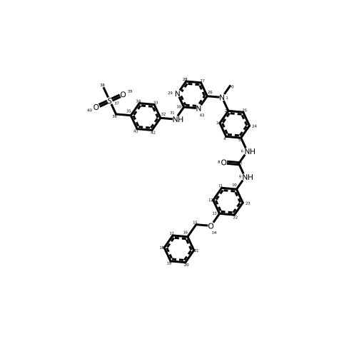 CN(c1ccc(NC(=O)Nc2ccc(OCc3ccccc3)cc2)cc1)c1ccnc(Nc2ccc(CS(C)(=O)=O)cc2)n1